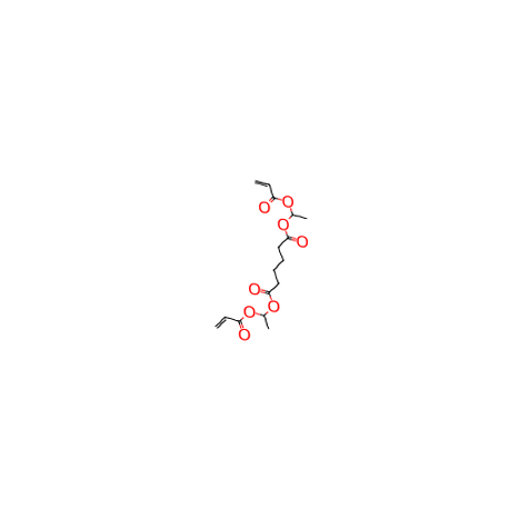 C=CC(=O)OC(C)OC(=O)CCCCC(=O)OC(C)OC(=O)C=C